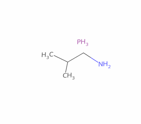 CC(C)CN.P